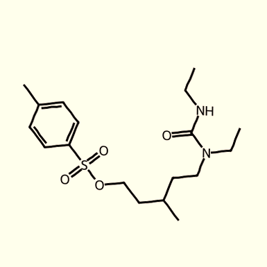 CCNC(=O)N(CC)CCC(C)CCOS(=O)(=O)c1ccc(C)cc1